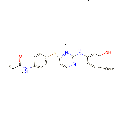 C=CC(=O)Nc1ccc(Sc2ccnc(Nc3ccc(OC)c(O)c3)n2)cc1